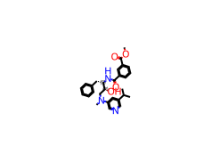 COC(=O)c1cccc(C(=O)N[C@@H](Cc2ccccc2)[C@H](O)CN(C)c2cncc(C(C)C)c2)c1